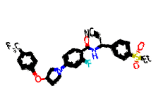 CCS(=O)(=O)c1ccc([C@@H](CC#N)NC(=O)c2ccc(N3CC[C@@H](Oc4ccc(C(F)(F)F)cc4)C3)cc2F)cc1